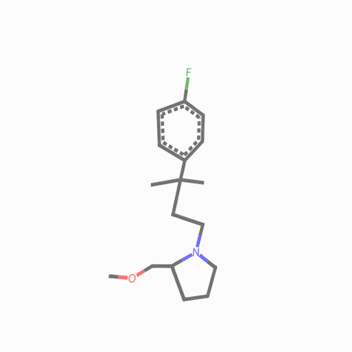 COCC1CCCN1CCC(C)(C)c1ccc(F)cc1